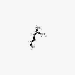 N=NC=NN(N)N